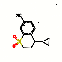 N#Cc1ccc2c(c1)S(=O)(=O)CCC2C1CC1